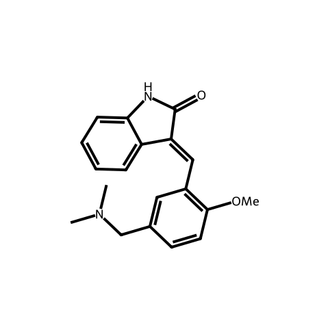 COc1ccc(CN(C)C)cc1C=C1C(=O)Nc2ccccc21